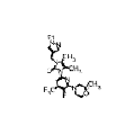 CCn1cc(Cn2c(C)c(C)n(-c3cc(C(F)(F)F)c(F)c(N4CCO[C@H](C)C4)n3)c2=O)cn1